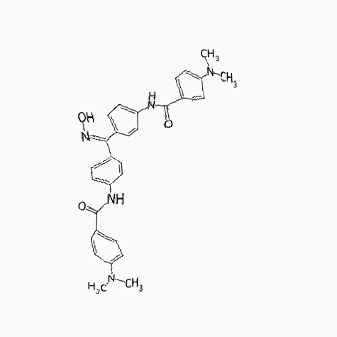 CN(C)c1ccc(C(=O)Nc2ccc(C(=NO)c3ccc(NC(=O)c4ccc(N(C)C)cc4)cc3)cc2)cc1